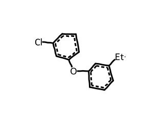 C[CH]c1cccc(Oc2cccc(Cl)c2)c1